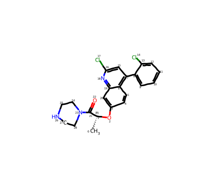 C[C@@H](Oc1ccc2c(-c3ccccc3Cl)cc(Cl)nc2c1)C(=O)N1CCNCC1